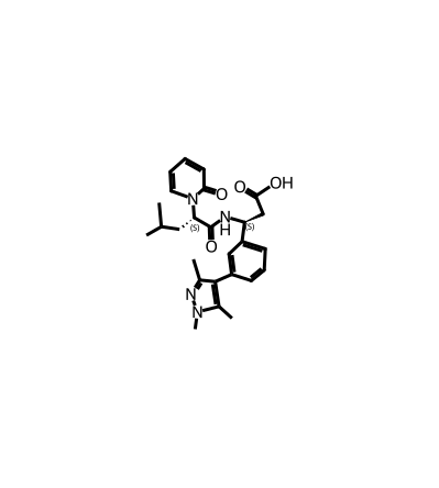 Cc1nn(C)c(C)c1-c1cccc([C@H](CC(=O)O)NC(=O)[C@H](CC(C)C)n2ccccc2=O)c1